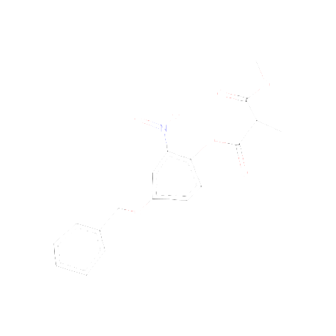 COC(=O)C(C)C(=O)Oc1ccc(OCc2ccccc2)cc1[N+](=O)[O-]